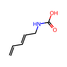 C=CC=CCNC(=O)O